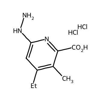 CCc1cc(NN)nc(C(=O)O)c1C.Cl.Cl